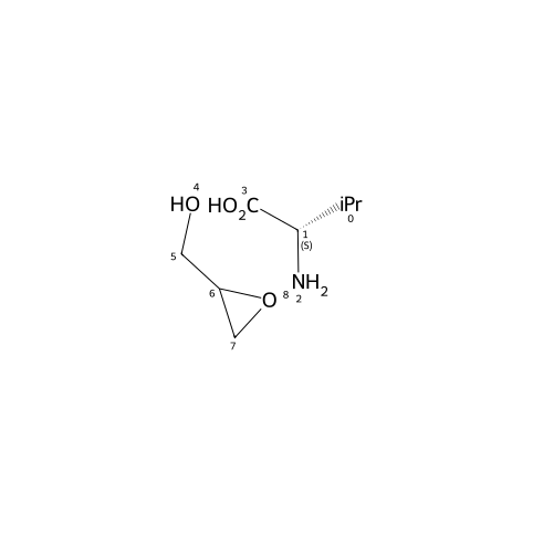 CC(C)[C@H](N)C(=O)O.OCC1CO1